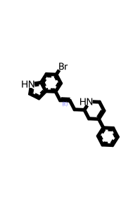 Brc1cc(/C=C/CC2CC(c3ccccc3)=CCN2)c2cc[nH]c2c1